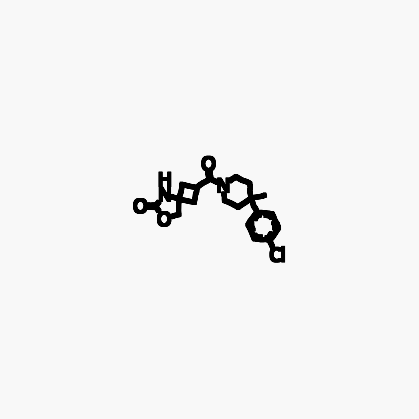 CC1(c2ccc(Cl)cc2)CCN(C(=O)C2CC3(COC(=O)N3)C2)CC1